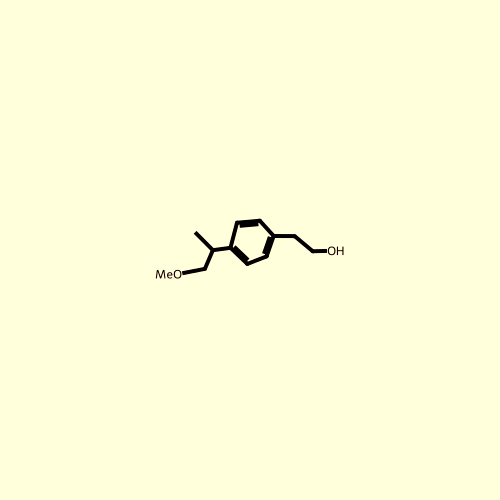 COCC(C)c1ccc(CCO)cc1